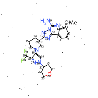 COc1cccc2c1nc(N)n1nc([C@@H]3CCCN(c4cn(C5CCOCC5)nc4C(F)F)C3)nc21